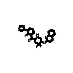 O=C(c1cccc(-c2cscn2)c1F)C1CC(F)(F)C(Oc2ccc3ccccc3n2)CN1